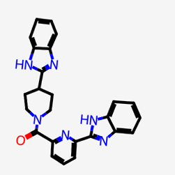 O=C(c1cccc(-c2nc3ccccc3[nH]2)n1)N1CCC(c2nc3ccccc3[nH]2)CC1